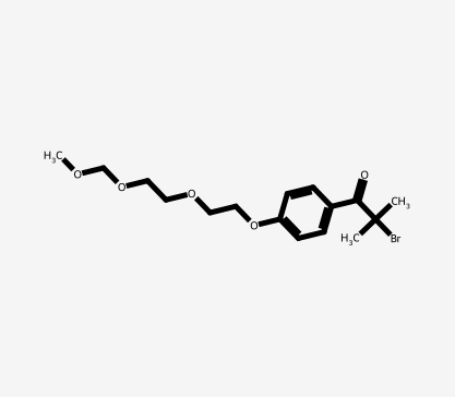 COCOCCOCCOc1ccc(C(=O)C(C)(C)Br)cc1